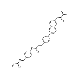 C=CC(=O)OCc1ccc(OC(=O)CCc2ccc(-c3ccc4cc(CC(=O)C(=C)C)ccc4c3)cc2)cc1